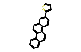 c1csc(-c2ccc3c(ccc4c5ccccc5ccc34)c2)c1